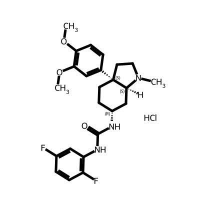 COc1ccc([C@@]23CC[C@@H](NC(=O)Nc4cc(F)ccc4F)C[C@@H]2N(C)CC3)cc1OC.Cl